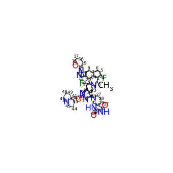 CCc1c(F)ccc2cc3c(cnn3C3CCCCO3)c(-c3ncc4c(N5CCC[C@]6(C5)NC(=O)NC6=O)nc(OCC56CCCN5CCC6)nc4c3F)c12